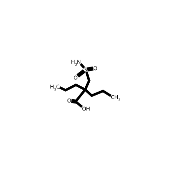 CCCC(CCC)(CS(N)(=O)=O)C(=O)O